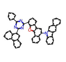 c1ccc(-c2nc(-c3cc4ccccc4c4ccccc34)nc(-c3cccc4c3oc3c5ccccc5c(-n5c6ccccc6c6cc7ccccc7cc65)cc43)n2)cc1